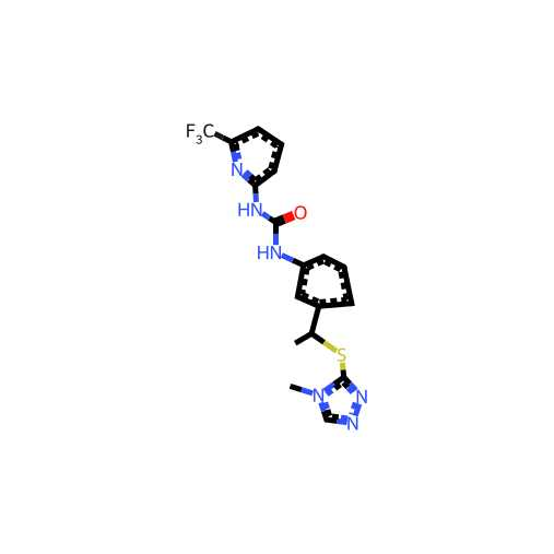 CC(Sc1nncn1C)c1cccc(NC(=O)Nc2cccc(C(F)(F)F)n2)c1